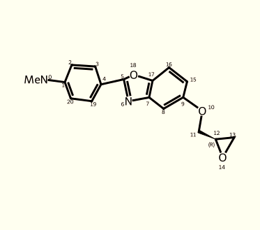 CNc1ccc(-c2nc3cc(OC[C@H]4CO4)ccc3o2)cc1